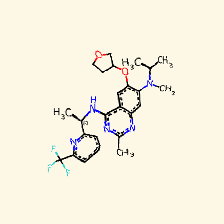 Cc1nc(N[C@H](C)c2cccc(C(F)(F)F)n2)c2cc(OC3CCOC3)c(N(C)C(C)C)cc2n1